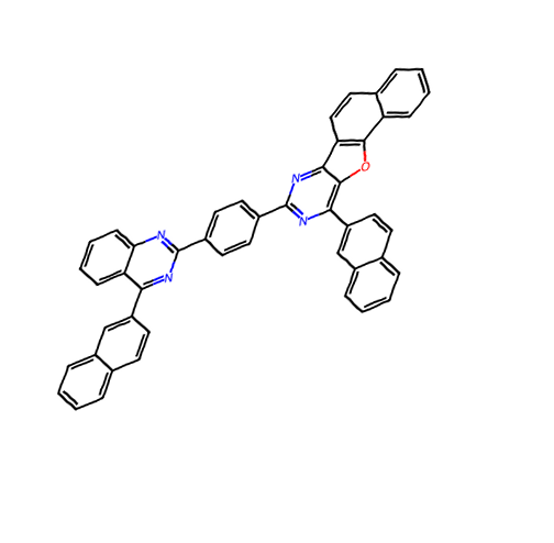 c1ccc2cc(-c3nc(-c4ccc(-c5nc(-c6ccc7ccccc7c6)c6oc7c8ccccc8ccc7c6n5)cc4)nc4ccccc34)ccc2c1